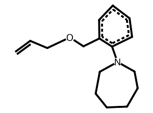 C=CCOCc1ccccc1N1CCCCCC1